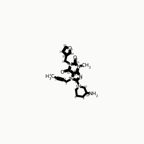 CC#CCn1c(N2CCCC(N)C2)nc2c1c(=O)n(Cc1ccoc1)c(=O)n2C